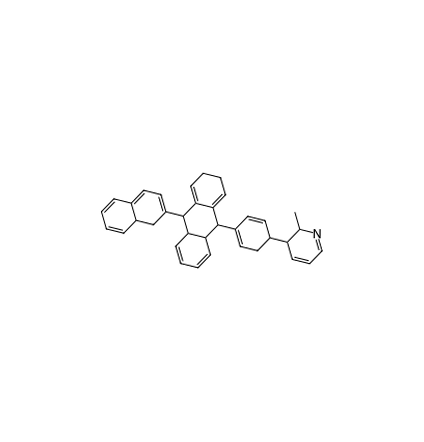 CC1N=CC=CC1C1C=CC(C2C3=CCCC=C3C(C3=CC=C4C=CC=CC4C3)C3C=CC=CC23)=CC1